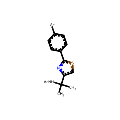 CC(=O)NC(C)(C)c1csc(-c2ccc(C(C)=O)cc2)n1